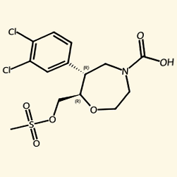 CS(=O)(=O)OC[C@@H]1OCCN(C(=O)O)C[C@H]1c1ccc(Cl)c(Cl)c1